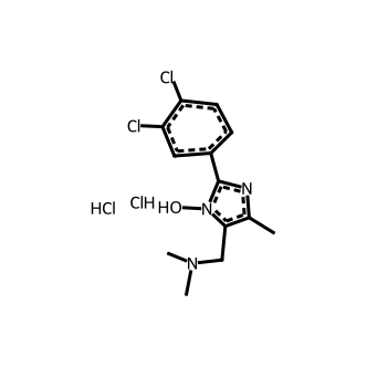 Cc1nc(-c2ccc(Cl)c(Cl)c2)n(O)c1CN(C)C.Cl.Cl